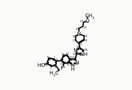 CCc1cc(O)ccc1-c1ccc2c(-c3nc(C4=CCN(CCCOC)CC4)c[nH]3)n[nH]c2c1F